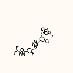 CN(C)Cc1cc(Cl)cc(-c2cn(Cc3ccc(-c4nnc(C(F)F)o4)cc3F)nn2)c1